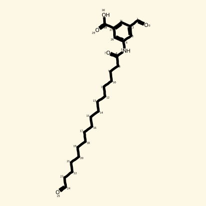 O=[C]c1cc(NC(=O)CCCCCCCCCCCCCCCCC=O)cc(C(=O)O)c1